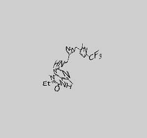 CC[C@H]1C(=O)Nc2c(C)nc(NCc3cnn(Cc4ccc(C(F)(F)F)nc4C)c3)nc2N1C